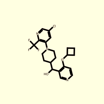 OC(c1cnccc1OC1CCC1)C1CCN(c2cc(Cl)cnc2C(F)(F)F)CC1